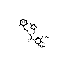 COc1cc(C(=O)N(CCCc2ccccc2F)Cc2nc(C(=O)O)cs2)cc(OC)c1C